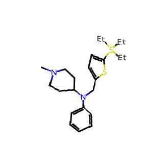 CCS(CC)(CC)c1ccc(CN(c2ccccc2)C2CCN(C)CC2)s1